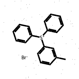 Cc1cccc([S+](c2ccccc2)c2ccccc2)c1.[Br-]